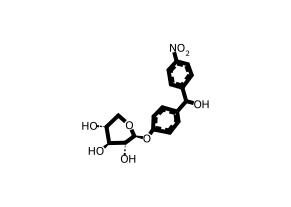 O=[N+]([O-])c1ccc(C(O)c2ccc(O[C@@H]3OC[C@@H](O)[C@H](O)[C@H]3O)cc2)cc1